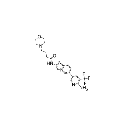 Nc1ncc(-c2ccc3nc(NC(=O)CCCN4CCOCC4)cn3c2)cc1C(F)(F)F